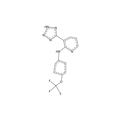 FC(F)(F)Oc1ccc(Nc2ncccc2-c2nn[nH]n2)cc1